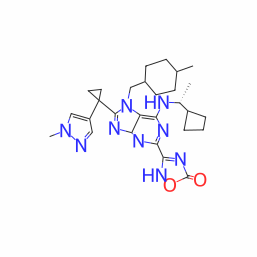 CC1CCC(Cn2c(C3(c4cnn(C)c4)CC3)nc3nc(-c4nc(=O)o[nH]4)nc(N[C@H](C)C4CCC4)c32)CC1